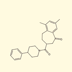 Cc1cc(C)c2c(c1)C(=O)CC(C(=O)N1CCC(c3ccccc3)CC1)CC2